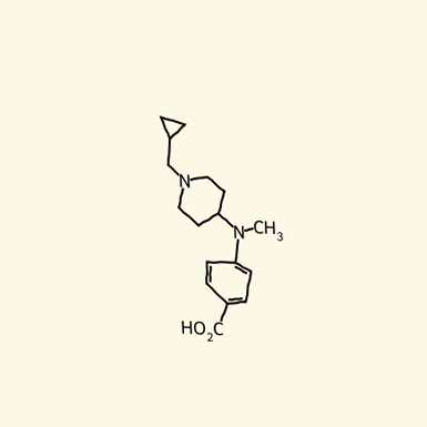 CN(c1ccc(C(=O)O)cc1)C1CCN(CC2CC2)CC1